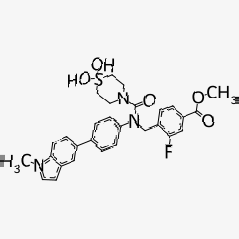 COC(=O)c1ccc(CN(C(=O)N2CCS(O)(O)CC2)c2ccc(-c3ccc4c(ccn4C)c3)cc2)c(F)c1